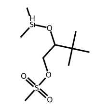 C[SiH](C)OC(COS(C)(=O)=O)C(C)(C)C